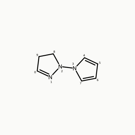 C1=NN(n2cccc2)CC1